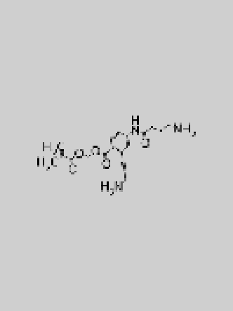 C=C(C)C(=O)OCOC(=O)c1ccc(NC(=O)CCCN)cc1C#CCN